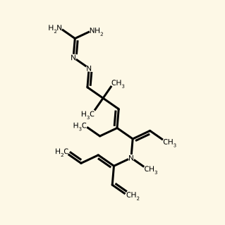 C=C/C=C(\C=C)N(C)C(=C\C)/C(=C/C(C)(C)/C=N/N=C(N)N)CC